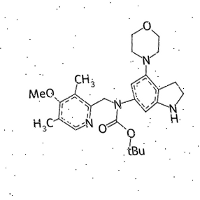 COc1c(C)cnc(CN(C(=O)OC(C)(C)C)c2cc3c(c(N4CCOCC4)c2)CCN3)c1C